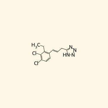 CCc1c(C=CCc2nnn[nH]2)ccc(Cl)c1Cl